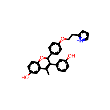 CC1=C(c2cccc(O)c2)C(c2ccc(OCCc3ccc[nH]3)cc2)Oc2ccc(O)cc21